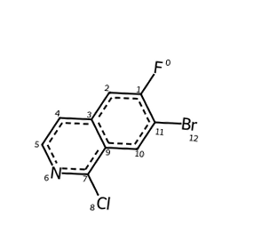 Fc1cc2ccnc(Cl)c2cc1Br